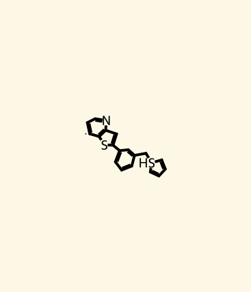 [c]1ccnc2cc(-c3cccc(C[SH]4C=CC=C4)c3)sc12